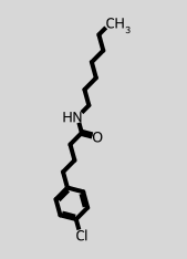 CCCCCCCNC(=O)CCCc1ccc(Cl)cc1